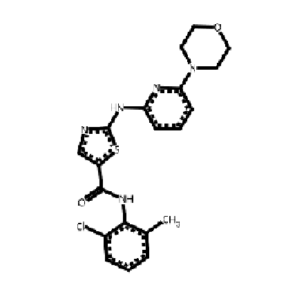 Cc1cccc(Cl)c1NC(=O)c1cnc(Nc2cccc(N3CCOCC3)n2)s1